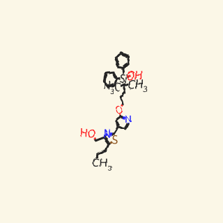 CCCc1sc(-c2ccnc(OCCCC(C)(C)[Si](O)(c3ccccc3)c3ccccc3)c2)nc1CO